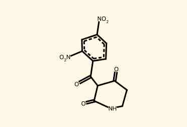 O=C1CCNC(=O)C1C(=O)c1ccc([N+](=O)[O-])cc1[N+](=O)[O-]